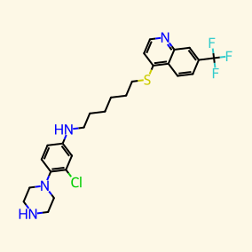 FC(F)(F)c1ccc2c(SCCCCCCNc3ccc(N4CCNCC4)c(Cl)c3)ccnc2c1